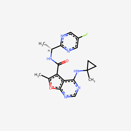 Cc1oc2ncnc(NC3(C)CC3)c2c1C(=O)N[C@H](C)c1ncc(F)cn1